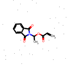 C=CC(=O)OC(C)N1C(=O)c2ccccc2C1=O